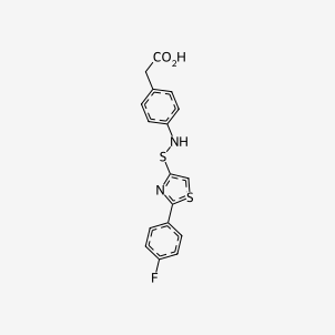 O=C(O)Cc1ccc(NSc2csc(-c3ccc(F)cc3)n2)cc1